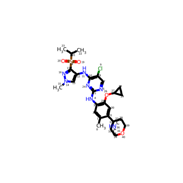 Cc1cc(Nc2ncc(Cl)c(Nc3cn(C)nc3S(=O)(=O)C(C)C)n2)c(OC2CC2)cc1C1CC2CNCC1CO2